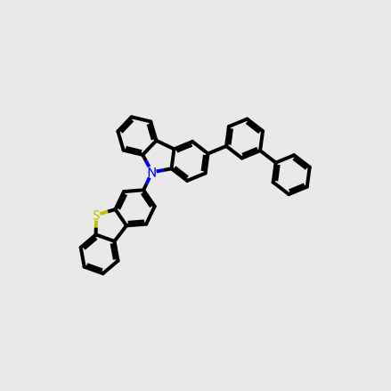 c1ccc(-c2cccc(-c3ccc4c(c3)c3ccccc3n4-c3ccc4c(c3)sc3ccccc34)c2)cc1